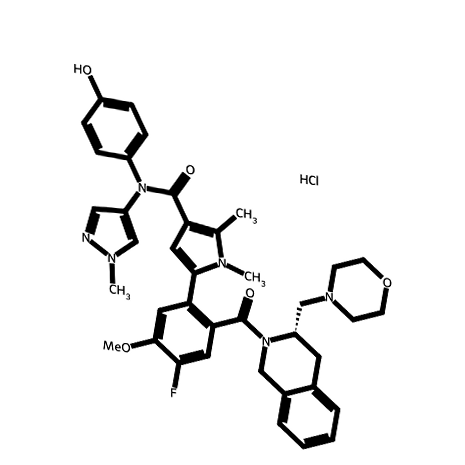 COc1cc(-c2cc(C(=O)N(c3ccc(O)cc3)c3cnn(C)c3)c(C)n2C)c(C(=O)N2Cc3ccccc3C[C@H]2CN2CCOCC2)cc1F.Cl